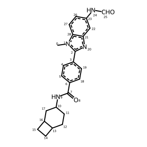 Cn1c(-c2ccc(C(=O)NC3CCC4CCC4C3)cc2)nc2cc(NC=O)ccc21